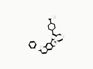 NC(=O)C1CCC(C2=C3C=NC=C[N+]3(N)C(c3cc4nc(Oc5ccccc5)ccc4cc3Cl)=N2)CC1